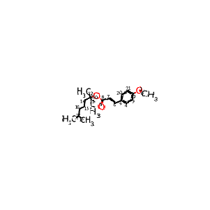 COc1ccc(/C=C/C(=O)OC(C)(C)CCCC(C)C)cc1